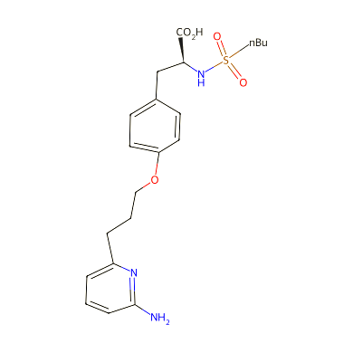 CCCCS(=O)(=O)N[C@@H](Cc1ccc(OCCCc2cccc(N)n2)cc1)C(=O)O